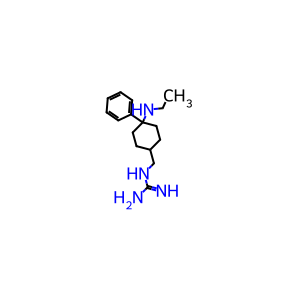 CCNC1(c2ccccc2)CCC(CNC(=N)N)CC1